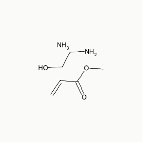 C=CC(=O)OC.N.NCCO